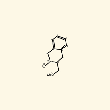 COCC1Cc2ccccc2CN1C(C)=O